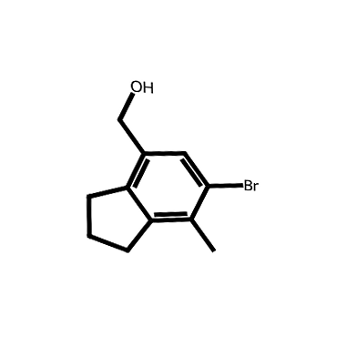 Cc1c(Br)cc(CO)c2c1CCC2